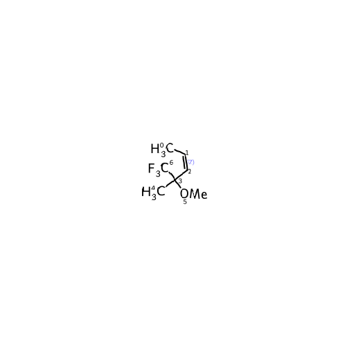 C/C=C\C(C)(OC)C(F)(F)F